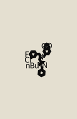 CCCCn1c(CN(Cc2ccc(F)c(Cl)c2)Cc2ccc3c(c2)OCO3)cnc1-c1ccccc1